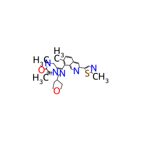 Cc1ncc(-c2cc3ccc(C)c(-c4nc(C5CCOCC5)n5c4CN(C)C(=O)[C@H]5C)c3cn2)s1